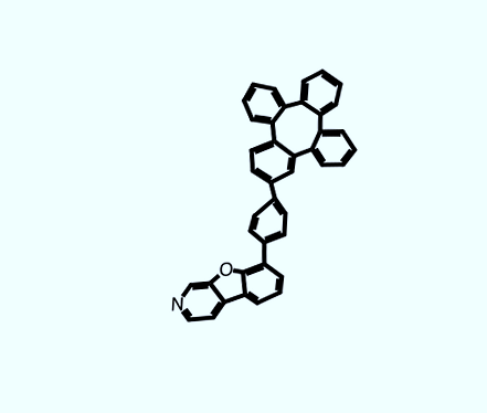 c1ccc2c(c1)-c1ccccc1-c1ccc(-c3ccc(-c4cccc5c4oc4cnccc45)cc3)cc1-c1ccccc1-2